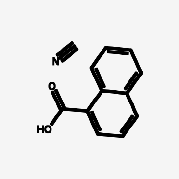 C#N.O=C(O)c1cccc2ccccc12